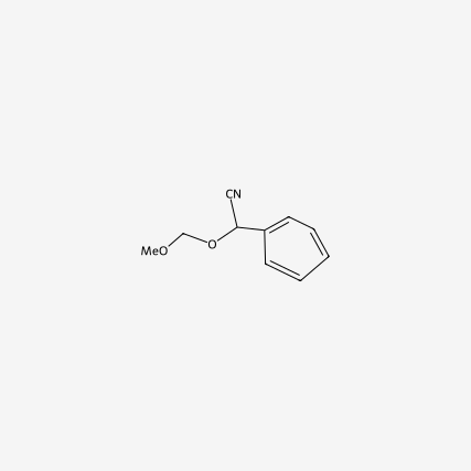 COCOC(C#N)c1ccccc1